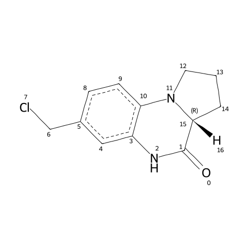 O=C1Nc2cc(CCl)ccc2N2CCC[C@H]12